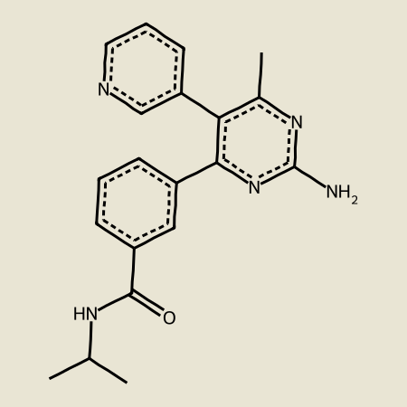 Cc1nc(N)nc(-c2cccc(C(=O)NC(C)C)c2)c1-c1cccnc1